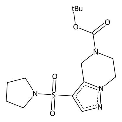 CC(C)(C)OC(=O)N1CCn2ncc(S(=O)(=O)N3CCCC3)c2C1